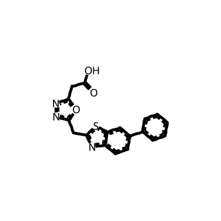 O=C(O)Cc1nnc(Cc2nc3ccc(-c4ccccc4)cc3s2)o1